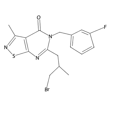 Cc1nsc2nc(CC(C)CBr)n(Cc3cccc(F)c3)c(=O)c12